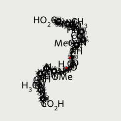 COc1cc(-c2nccc(-c3cccc(NC(=O)c4nc5c(n4C)CCN(CC46CCC(C(=O)O)(CC4)C6)C5)c3Cl)c2Cl)ccc1CNCC12CC(C(=O)OC(=O)C34CC(CNCc5ccc(-c6nccc(-c7cccc(NC(=O)c8nc9c(n8C)CCN(CC8%10CCC(C(=O)O)(CC8)C%10)C9)c7Cl)c6Cl)cc5OC)(C3)C4)(C1)C2